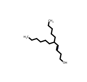 CCCCCCC(/C=C/CCO)CCCCC